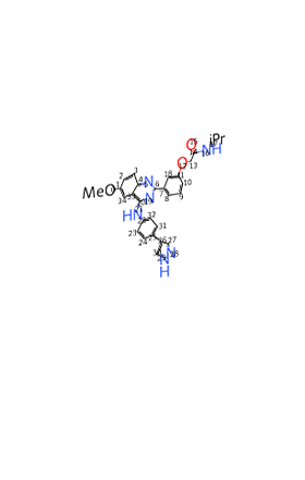 COc1ccc2nc(-c3cccc(OCC(=O)NC(C)C)c3)nc(Nc3ccc(-c4cn[nH]c4)cc3)c2c1